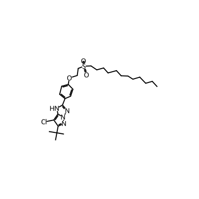 CCCCCCCCCCCCS(=O)(=O)CCOc1ccc(-c2nn3nc(C(C)(C)C)c(Cl)c3[nH]2)cc1